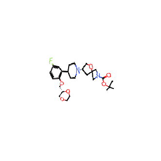 CC(C)(C)OC(=O)N1CC2(C[C@H](N3CCC(c4cc(F)ccc4OC[C@H]4COCCO4)CC3)CO2)C1